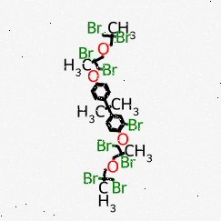 CC(Br)(CBr)COCC(C)(Br)C(Br)Oc1ccc(C(C)(C)c2ccc(OC(Br)C(C)(Br)COCC(C)(Br)CBr)c(Br)c2)cc1